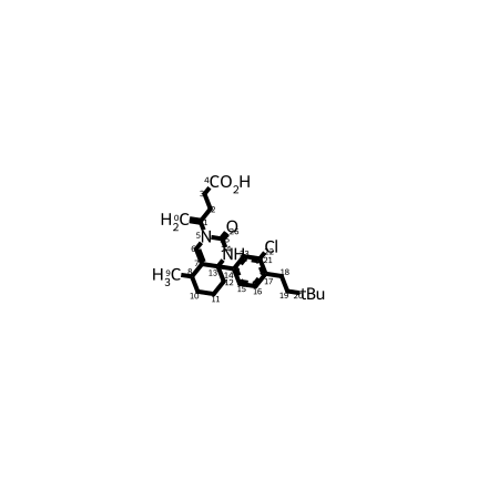 C=C(CCC(=O)O)N1C=C2C(C)CCCC2(c2ccc(CCC(C)(C)C)c(Cl)c2)NC1=O